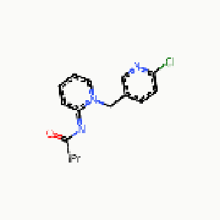 CC(C)C(=O)N=c1ccccn1Cc1ccc(Cl)nc1